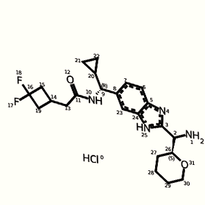 Cl.NC(c1nc2ccc([C@H](NC(=O)CC3CC(F)(F)C3)C3CC3)cc2[nH]1)[C@@H]1CCCCO1